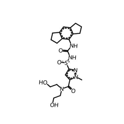 Cn1nc([S+]([O-])NC(=O)Nc2c3c(cc4c2CCC4)CCC3)cc1C(=O)N(CCO)CCO